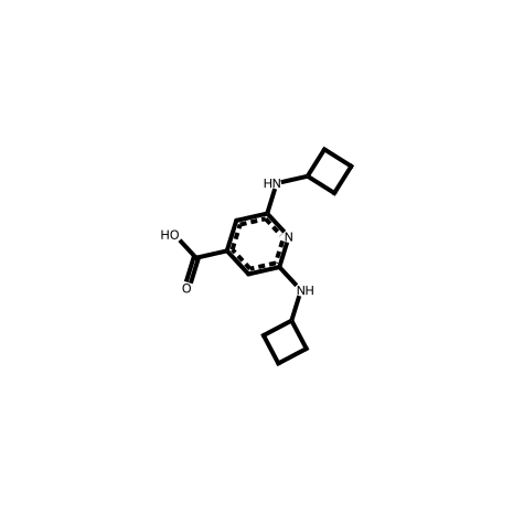 O=C(O)c1cc(NC2CCC2)nc(NC2CCC2)c1